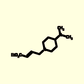 CCOC(=O)/C=C/CN1CCC(N(C)C)CC1